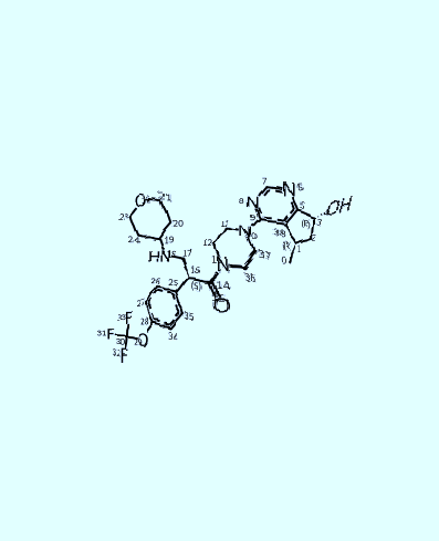 C[C@@H]1C[C@@H](O)c2ncnc(N3CCN(C(=O)[C@H](CNC4CCOCC4)c4ccc(OC(F)(F)F)cc4)CC3)c21